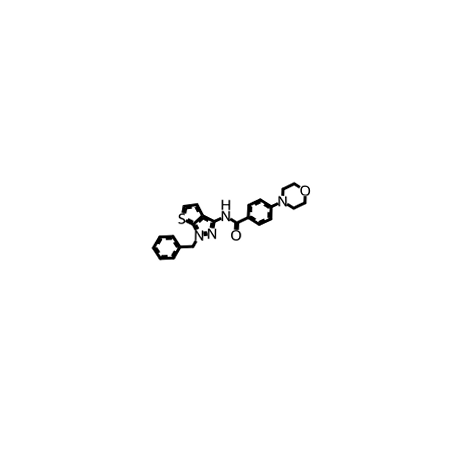 O=C(Nc1nn(Cc2ccccc2)c2sccc12)c1ccc(N2CCOCC2)cc1